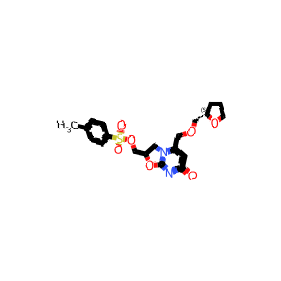 Cc1ccc(S(=O)(=O)OCC2Cn3c(COC[C@@H]4CCCO4)cc(=O)nc3O2)cc1